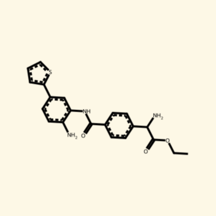 CCOC(=O)C(N)c1ccc(C(=O)Nc2cc(-c3cccs3)ccc2N)cc1